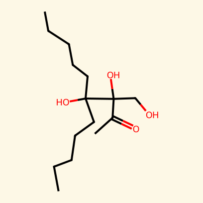 CCCCCC(O)(CCCCC)C(O)(CO)C(C)=O